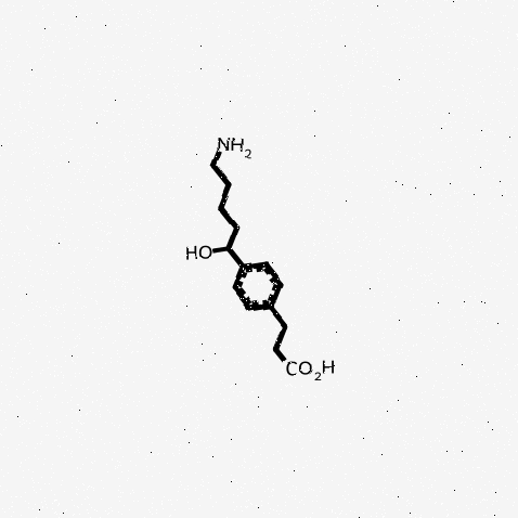 NCCCCC(O)c1ccc(CCC(=O)O)cc1